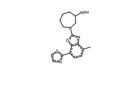 CNC1CCCCN(c2nc3c(C)ccc(-c4nccs4)c3o2)C1